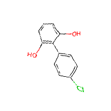 Oc1cccc(O)c1-c1ccc(Cl)cc1